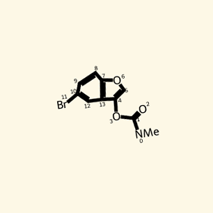 CNC(=O)Oc1coc2ccc(Br)cc12